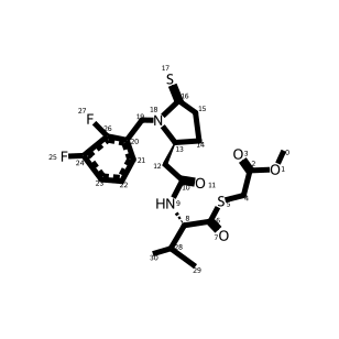 COC(=O)CSC(=O)[C@@H](NC(=O)C[C@@H]1CCC(=S)N1Cc1cccc(F)c1F)C(C)C